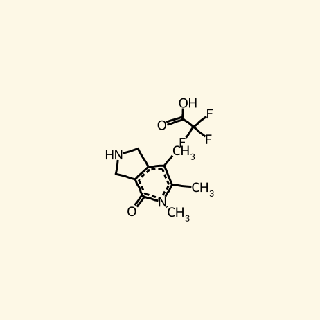 Cc1c2c(c(=O)n(C)c1C)CNC2.O=C(O)C(F)(F)F